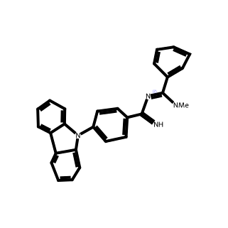 CN/C(=N\C(=N)c1ccc(-n2c3ccccc3c3ccccc32)cc1)c1ccccc1